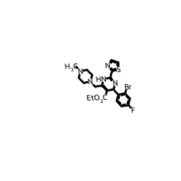 CCOC(=O)C1=C(CN2CCN(C)CC2)NC(c2nccs2)=NC1c1ccc(F)cc1Br